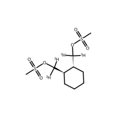 [2H]C([2H])(OS(C)(=O)=O)[C@@H]1CCCC[C@H]1C([2H])([2H])OS(C)(=O)=O